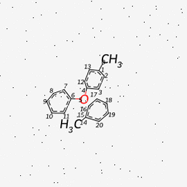 Cc1ccc(Oc2ccccc2)cc1.Cc1ccccc1